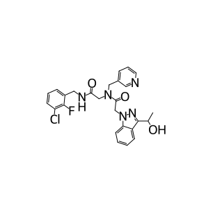 CC(O)c1nn(CC(=O)N(CC(=O)NCc2cccc(Cl)c2F)Cc2cccnc2)c2ccccc12